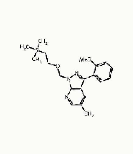 Bc1cnc2c(c1)c(-c1ccccc1OC)nn2COCC[Si](C)(C)C